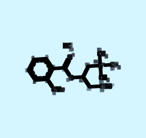 COc1ccccc1C(=O)OC(CC(=O)[O-])C[N+](C)(C)C.Cl